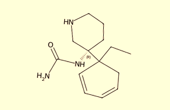 CCC1([C@]2(NC(N)=O)CCCNC2)C=CC=CC1